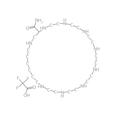 NC(=O)C1CNCCCCCCNCCNCCNCCNCCNCCNCCNCCN1.O=C(O)C(F)(F)F